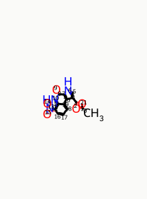 CC1OC(c2c[nH]c3c(=O)[nH]c4c([N+](=O)[O-])cccc4c23)O1